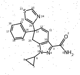 NC(=O)c1nn(C2CC2)c2c1C=CC(c1ccccc1)(c1cscn1)C2